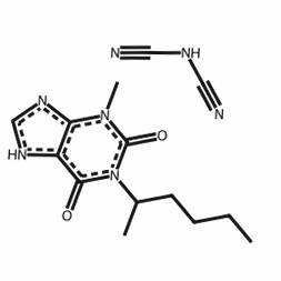 CCCCC(C)n1c(=O)c2[nH]cnc2n(C)c1=O.N#CNC#N